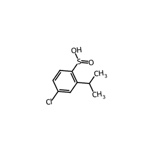 CC(C)c1cc(Cl)ccc1S(=O)O